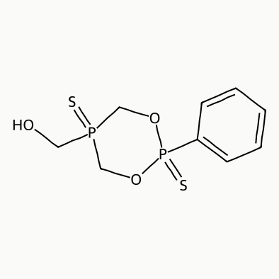 OCP1(=S)COP(=S)(c2ccccc2)OC1